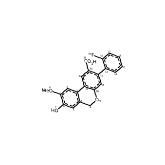 COc1cc2c(cc1O)COc1cc(-c3ccccc3F)c(C(=O)O)cc1-2